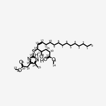 CCCCCCCCCCCC/C=C\C(Sc1nc(CC(=O)OC)c(C)[nH]1)C(O)CCC(=O)OC